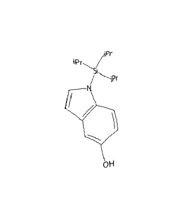 CC(C)[Si](C(C)C)(C(C)C)n1ccc2cc(O)ccc21